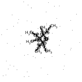 CCCCCOC(=O)CC[C@@H](C(=O)OCCCC)N1CCN(C(CCC(=O)OCCCC)C(=O)OCCCC)CCN([C@@H](CCC(=O)OCCCC)C(=O)OCCCCC)Cc2cccc(n2)C1